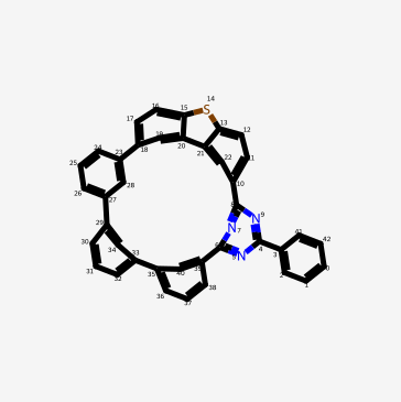 c1ccc(-c2nc3nc(n2)c2ccc4sc5ccc(cc5c4c2)c2cccc(c2)c2cccc(c2)c2cccc3c2)cc1